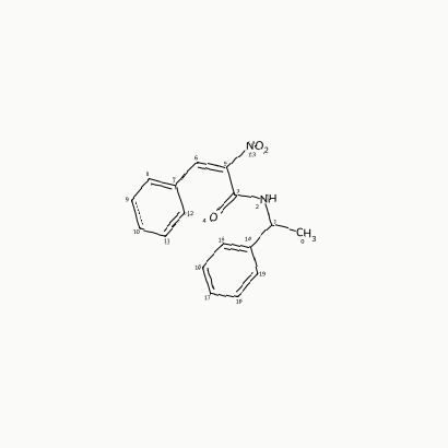 CC(NC(=O)C(=Cc1ccccc1)[N+](=O)[O-])c1ccccc1